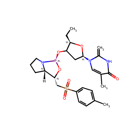 C=C1NC(=O)C(C)=CN1[C@H]1CC(O[P@@]2O[C@H](CS(=O)(=O)c3ccc(C)cc3)[C@@H]3CCCN32)[C@@H](CC)O1